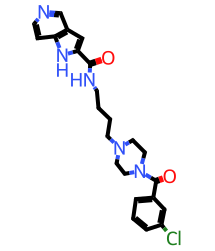 O=C(NCCCCN1CCN(C(=O)c2cccc(Cl)c2)CC1)c1cc2cnccc2[nH]1